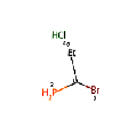 CCC(P)Br.Cl